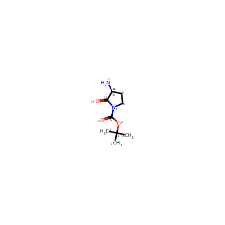 CC(C)(C)OC(=O)N1CC[C@H](N)C1=O